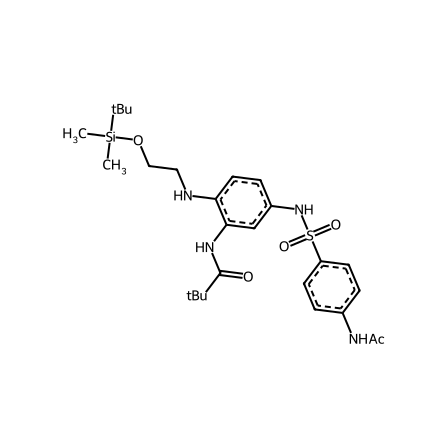 CC(=O)Nc1ccc(S(=O)(=O)Nc2ccc(NCCO[Si](C)(C)C(C)(C)C)c(NC(=O)C(C)(C)C)c2)cc1